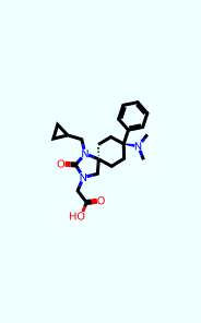 CN(C)[C@]1(c2ccccc2)CC[C@]2(CC1)CN(CC(=O)O)C(=O)N2CC1CC1